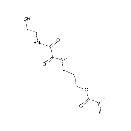 C=C(C)C(=O)OCCCNC(=O)C(=O)NCCS